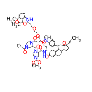 CC#CC12CCC3C4CCC5=CC(=O)CCC5=C4C(c4ccc(N(C)CCCC(=O)N5CCN(C(=O)C6CCC6)CC5C(=O)N5CCN(C(=O)OC)CC5C(=O)NCCCOCCOCCOCCCNc5cccc(C(C)=O)c5C(C)=O)cc4)CC31O2